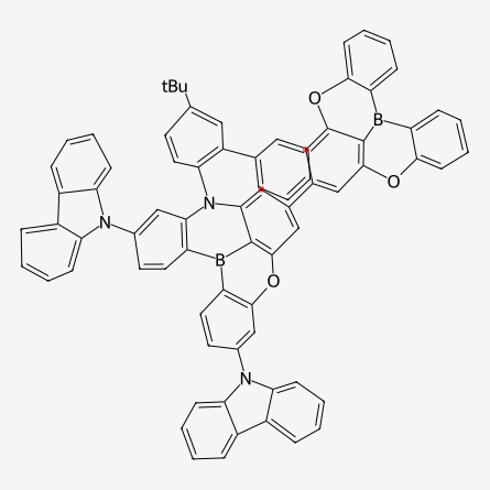 CC(C)(C)c1ccc(N2c3cc(-n4c5ccccc5c5ccccc54)ccc3B3c4ccc(-n5c6ccccc6c6ccccc65)cc4Oc4cc(-c5cc6c7c(c5)Oc5ccccc5B7c5ccccc5O6)cc2c43)c(-c2ccccc2)c1